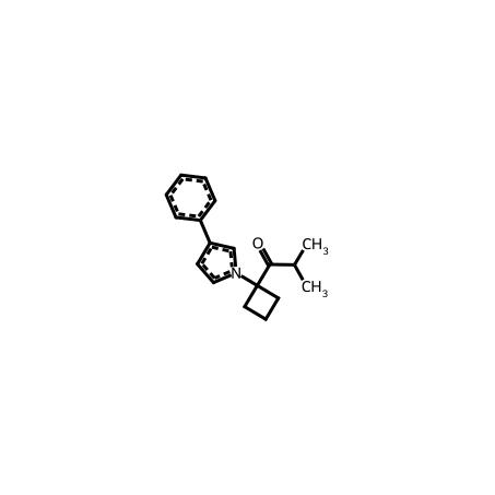 CC(C)C(=O)C1(n2ccc(-c3ccccc3)c2)CCC1